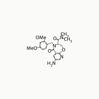 COc1ccc(CN2C(=O)c3cc(N)cnc3OCC2C(=O)N(C)C)c(OC)c1